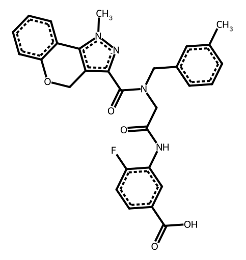 Cc1cccc(CN(CC(=O)Nc2cc(C(=O)O)ccc2F)C(=O)c2nn(C)c3c2COc2ccccc2-3)c1